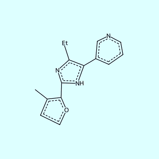 CCc1nc(-c2occc2C)[nH]c1-c1cccnc1